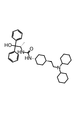 C[C@H](NC(=O)N[C@H]1CC[C@H](CCN(C2CCCCC2)C2CCCCC2)CC1)C(O)(c1ccccc1)c1ccccc1